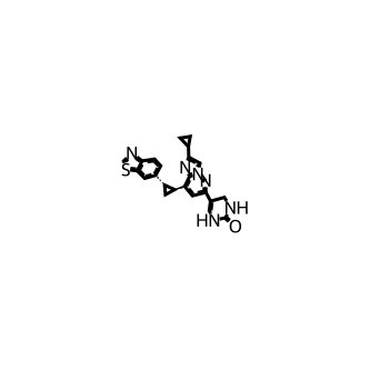 O=C1NC=C(c2cc([C@H]3C[C@@H]3c3ccc4ncsc4c3)c3nc(C4CC4)cn3n2)CN1